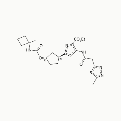 CCOC(=O)n1nc([C@H]2CC[C@@H](OC(=O)NC3(C)CCC3)C2)cc1NC(=O)Cc1nnc(C)s1